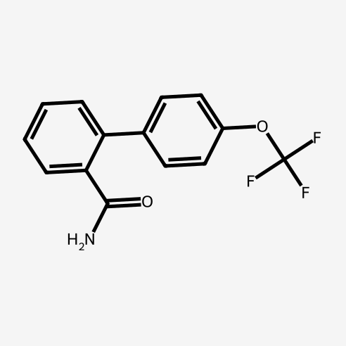 NC(=O)c1ccccc1-c1ccc(OC(F)(F)F)cc1